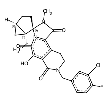 CC[C@]12C[C@H]1CC[C@]21N(C)C(=O)c2c3c(c(O)c(=O)n21)C(=O)N(Cc1ccc(F)c(Cl)c1)CC3